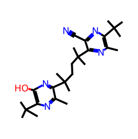 Cc1nc(C(C)(C)CCC(C)(C)c2nc(O)c(C(C)(C)C)nc2C)c(C#N)nc1C(C)(C)C